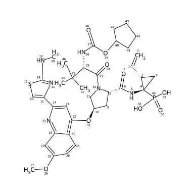 C=C[C@@H]1C[C@]1(NC(=O)[C@@H]1C[C@@H](Oc2cc(-c3csc(NC)n3)nc3cc(OC)ccc23)CN1C(=O)[C@@H](NC(=O)OC1CCCC1)C(C)(C)C)P(=O)(O)O